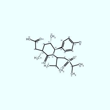 CC(C)C(CS(=O)(=O)C(C)C)N1C(=O)[C@@](C)(CC(=O)O)C[C@H](C)[C@H]1c1ccc(Cl)cc1